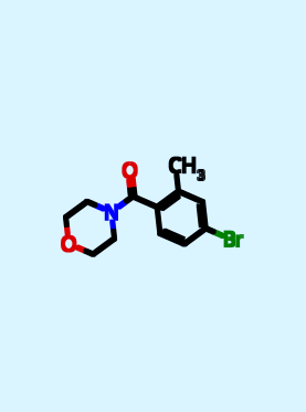 Cc1cc(Br)ccc1C(=O)N1CCOCC1